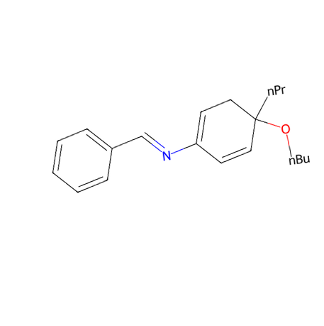 CCCCOC1(CCC)C=CC(N=Cc2ccccc2)=CC1